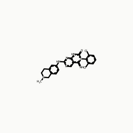 CN1CCc2cc(Nc3ncc4c(=N)n(-c5c(Cl)cccc5Cl)c(=O)[nH]c4n3)ccc2C1